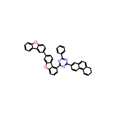 C1=Cc2c(ccc3cc(-c4nc(-c5ccccc5)nc(-c5cccc6oc7cc(-c8ccc9oc%10ccccc%10c9c8)ccc7c56)n4)ccc23)CC1